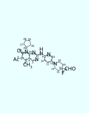 CC(=O)c1c(C)c2cnc(Nc3ccc(N4CCC(F)(C=O)CC4)cn3)nc2n(C2CCCC2)c1=O